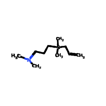 C=CC[Si](C)(C)CCCN(C)C